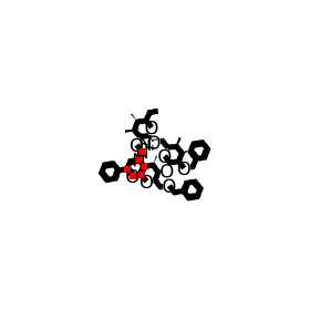 CCC1O[C@H](OCC2O[C@@H](O[C@@H]3C(COCc4ccccc4)O[C@@H](OCc4ccccc4)C(N=[N+]=[N-])[C@@H]3C)C(OCc3ccccc3)[C@@H](C)[C@@H]2C)C(OCc2ccccc2)[C@@H](C)[C@@H]1C